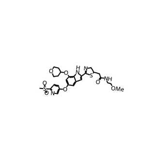 COCCNC(=O)CC1CN=C(c2cc3cc(Oc4ccc(S(C)(=O)=O)nc4)cc(OC4CCOCC4)c3[nH]2)S1